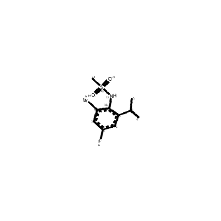 CC(C)c1cc(F)cc(Br)c1NS(C)(=O)=O